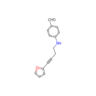 O=Cc1ccc(NCCC#Cc2ccco2)cc1